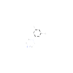 Cc1cc(C(C)C)cc(N2CCNCC2)c1